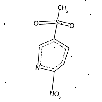 CS(=O)(=O)c1ccc([N+](=O)[O-])nc1